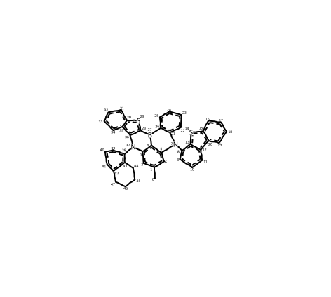 Cc1cc2c3c(c1)N(c1cccc4c1sc1ccccc14)c1ccccc1B3c1sc3ccccc3c1N2c1cccc2c1CCCC2